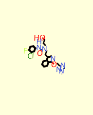 Cn1cnc(COc2ncc(CCN(CCCO)C(=O)Nc3ccc(F)c(Cl)c3)c3ccccc23)n1